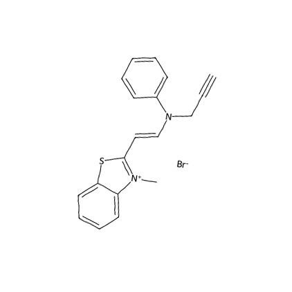 C#CCN(/C=C/c1sc2ccccc2[n+]1C)c1ccccc1.[Br-]